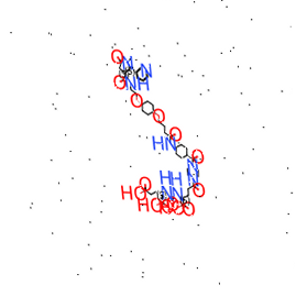 CN1C(=O)C[C@H](C(=O)NCCO[C@H]2CC[C@H](OCCCC(=O)N[C@H]3CC[C@H](C(=O)N4CCN(C(=O)CC[C@H](NC(=O)N[C@@H](CCC(=O)O)C(=O)O)C(=O)O)CC4)CC3)CC2)[C@H]1c1cccnc1